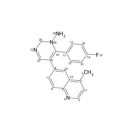 Cc1ccnc2ccc(C3=C(c4ccc(F)cc4)N(N)CN=C3)cc12